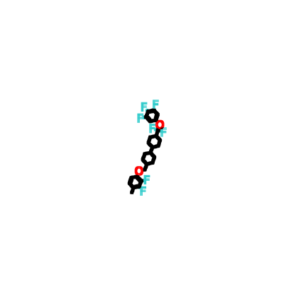 Cc1ccc(OCC2CCC(C3CCC(C(F)(F)Oc4cc(F)c(F)c(F)c4)CC3)CC2)c(F)c1F